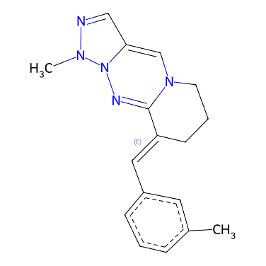 Cc1cccc(/C=C2\CCCN3C=C4C=NN(C)N4N=C23)c1